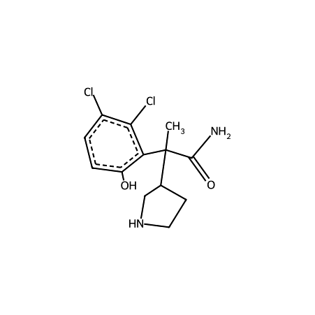 CC(C(N)=O)(c1c(O)ccc(Cl)c1Cl)C1CCNC1